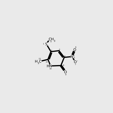 CSc1cc([N+](=O)[O-])c(=O)[nH]c1C